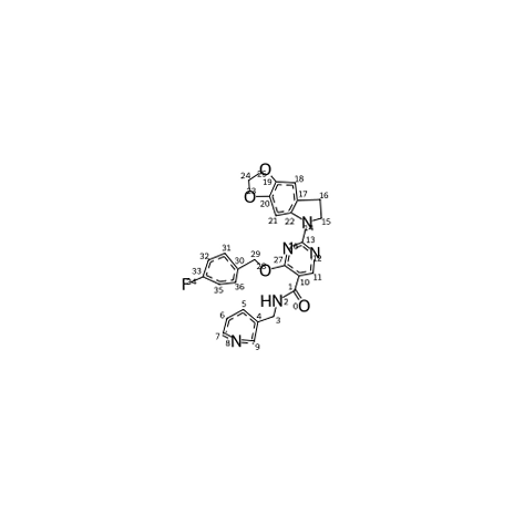 O=C(NCc1cccnc1)c1cnc(N2CCc3cc4c(cc32)OCO4)nc1OCc1ccc(F)cc1